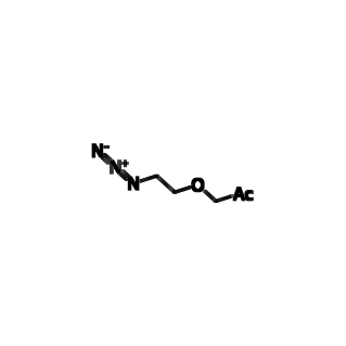 CC(=O)COCCN=[N+]=[N-]